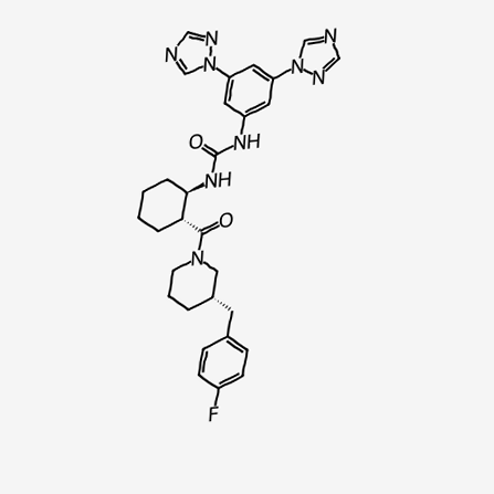 O=C(Nc1cc(-n2cncn2)cc(-n2cncn2)c1)N[C@@H]1CCCC[C@H]1C(=O)N1CCC[C@@H](Cc2ccc(F)cc2)C1